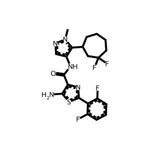 Cn1ncc(NC(=O)c2nc(-c3c(F)cccc3F)sc2N)c1C1CCCCC(F)(F)C1